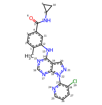 Cc1ccc(C(=O)NC2CC2)cc1Nc1ncnc2c1cnn2-c1ncccc1Cl